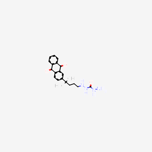 CC(C)(CCCNNC(=O)NN)c1ccc2c(c1)C(=O)c1ccccc1C2=O